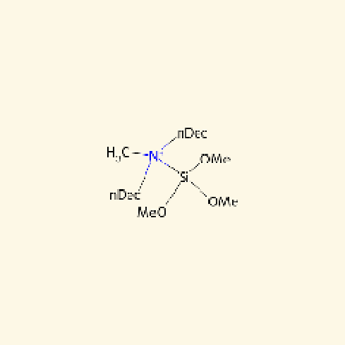 CCCCCCCCCC[N+](C)(CCCCCCCCCC)[Si](OC)(OC)OC